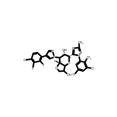 Cc1nc([C@@H]2OC3C(O)CO[C@@H]3C(n3cc(-c4ccc(Cl)c(F)c4F)cn3)[C@@H]2O)n(-c2cc(Cl)cc(Cl)c2C(F)(F)F)n1